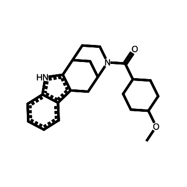 COC1CCC(C(=O)N2CCC3CC2Cc2c3[nH]c3ccccc23)CC1